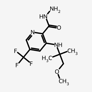 COCC(C)(C)Nc1cc(C(F)(F)F)cnc1C(=O)NN